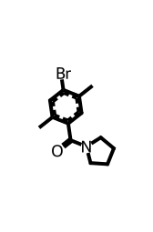 Cc1cc(C(=O)N2CCCC2)c(C)cc1Br